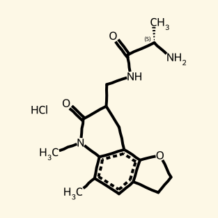 Cc1cc2c(c3c1N(C)C(=O)C(CNC(=O)[C@H](C)N)C3)OCC2.Cl